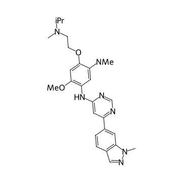 CNc1cc(Nc2cc(-c3ccc4cnn(C)c4c3)ncn2)c(OC)cc1OCCN(C)C(C)C